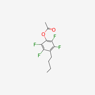 CCCCc1c(F)c(F)c(OC(C)=O)c(F)c1F